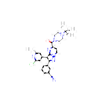 Cc1cc(-c2c(-c3cccc(C#N)c3)nn3ccc(C(=O)N4CCN(C(C)(C)C)CC4)nc23)cc(Cl)n1